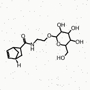 O=C(NCCOC1OC(CO)C(O)C(O)C1O)C1C[C@@H]2C=CC1C2